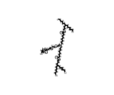 CCCCCCC(CCCCCC)CCCOC(=O)CCCCCCCN(CCCCCCCC(=O)OCCCC(CCCCCC)CCCCCC)CCOCCOCCNC(=O)OC(C)(C)C